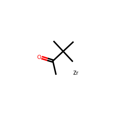 CC(=O)C(C)(C)C.[Zr]